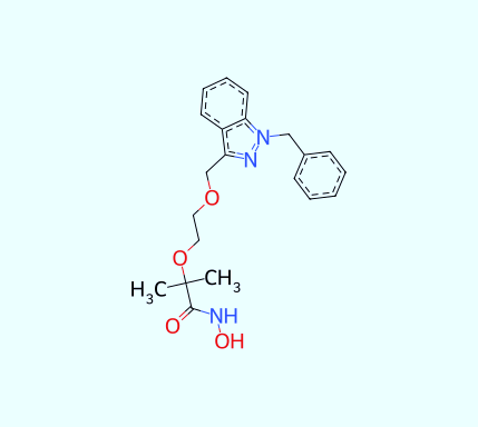 CC(C)(OCCOCc1nn(Cc2ccccc2)c2ccccc12)C(=O)NO